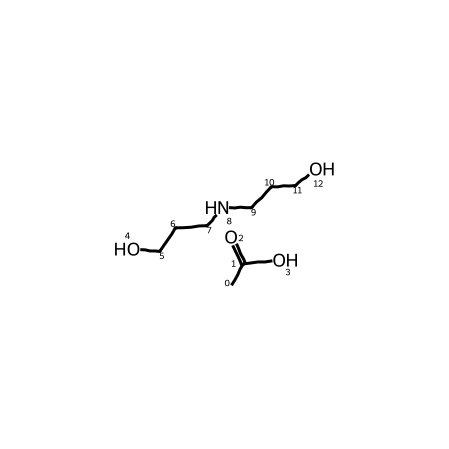 CC(=O)O.OCCCNCCCO